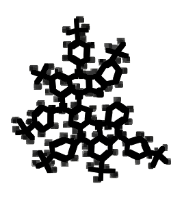 CC(C)(C)c1ccc(N2c3ccccc3B3c4cc5c(cc4N(c4ccc(C(C)(C)C)cc4)c4cc(C(C)(C)C)cc2c43)N(c2ccc(C(C)(C)C)cc2)c2cc(C(C)(C)C)cc3c2B5c2sc4ccc(C(C)(C)C)cc4c2N3c2ccc(C(C)(C)C)cc2)cc1